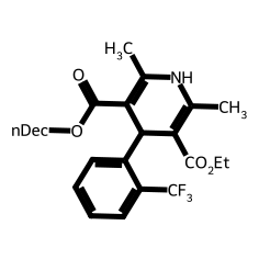 CCCCCCCCCCOC(=O)C1=C(C)NC(C)=C(C(=O)OCC)C1c1ccccc1C(F)(F)F